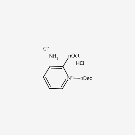 CCCCCCCCCC[n+]1ccccc1CCCCCCCC.Cl.N.[Cl-]